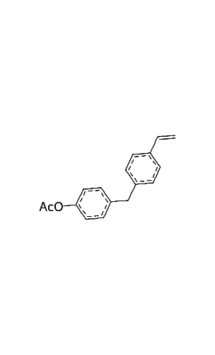 C=Cc1ccc(Cc2ccc(OC(C)=O)cc2)cc1